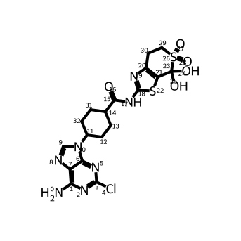 Nc1nc(Cl)nc2c1ncn2C1CCC(C(=O)Nc2nc3c(s2)C(O)(O)S(=O)(=O)CC3)CC1